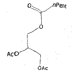 CCCCCC(=O)OCC(COC(C)=O)OC(C)=O